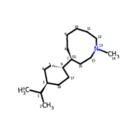 CC(C)[C@H]1CC[C@H]([C@H]2CCCCCN(C)CC2)CC1